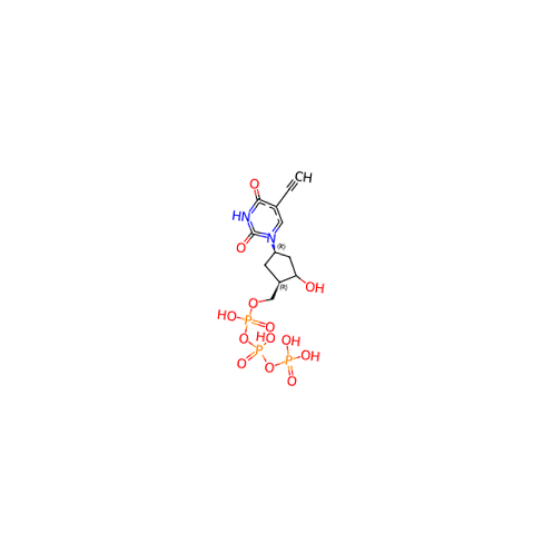 C#Cc1cn([C@H]2CC(O)[C@@H](COP(=O)(O)OP(=O)(O)OP(=O)(O)O)C2)c(=O)[nH]c1=O